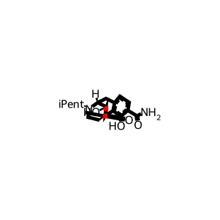 CCC[C@@H](C)N1CC[C@]23CC(=O)CC[C@@]2(O)[C@H]1Cc1ccc(C(N)=O)c(O)c13